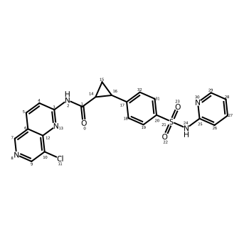 O=C(Nc1ccc2cncc(Cl)c2n1)C1CC1c1ccc(S(=O)(=O)Nc2ccccn2)cc1